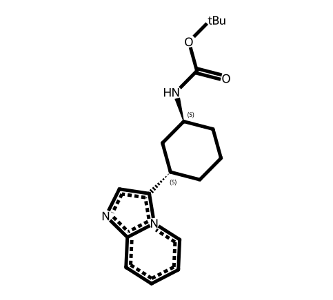 CC(C)(C)OC(=O)N[C@H]1CCC[C@H](c2cnc3ccccn23)C1